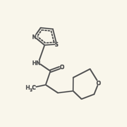 CC(CC1CCOCC1)C(=O)Nc1nccs1